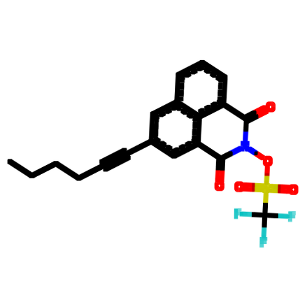 CCCCC#Cc1cc2c3c(cccc3c1)C(=O)N(OS(=O)(=O)C(F)(F)F)C2=O